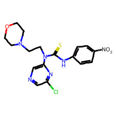 O=[N+]([O-])c1ccc(NC(=S)N(CCN2CCOCC2)c2cncc(Cl)n2)cc1